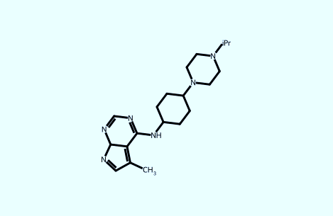 CC1=C2C(NC3CCC(N4CCN(C(C)C)CC4)CC3)=NC=NC2N=C1